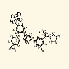 CCS(=O)(=O)Nc1ccc(-n2cc(-c3cc(C)cc(C(O)C4CCCC4)n3)nn2)c(N2CCC3(CC2)CC3)c1